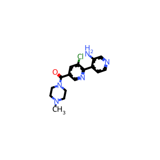 CN1CCN(C(=O)c2cnc(-c3ccncc3N)c(Cl)c2)CC1